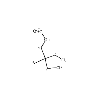 CC(CCl)(CCl)CO[C]=O